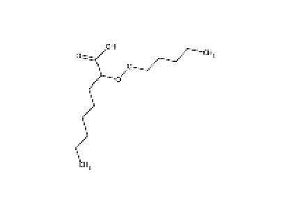 CCCCCCC(OOCCCCC)C(=O)O